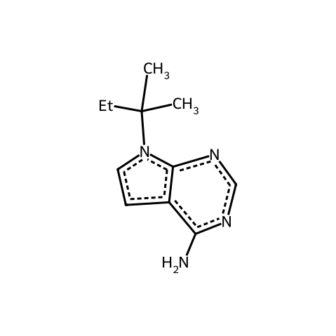 CCC(C)(C)n1ccc2c(N)ncnc21